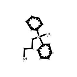 C[Si](CCCS)(c1ccccc1)c1ccccc1